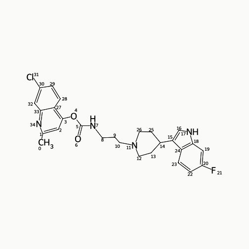 Cc1cc(OC(=O)NCCCN2CCC(c3c[nH]c4cc(F)ccc34)CC2)c2ccc(Cl)cc2n1